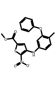 COC(=O)c1cc(Nc2ccc(C)c(Oc3ccccc3)c2)c([N+](=O)[O-])s1